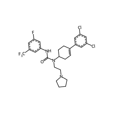 O=C(Nc1cc(F)cc(C(F)(F)F)c1)N(CCN1CCCC1)C1CC=C(c2cc(Cl)cc(Cl)c2)CC1